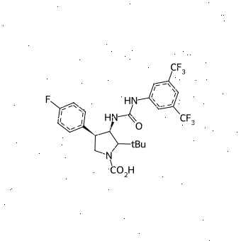 CC(C)(C)C1[C@H](NC(=O)Nc2cc(C(F)(F)F)cc(C(F)(F)F)c2)[C@H](c2ccc(F)cc2)CN1C(=O)O